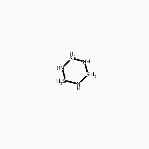 N1[SiH2]N[SiH2]N[SiH2]1